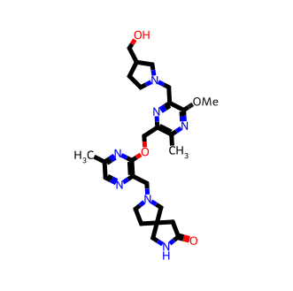 COc1nc(C)c(COc2nc(C)cnc2CN2CCC3(CNC(=O)C3)C2)nc1CN1CCC(CO)C1